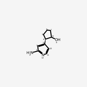 Nc1cc([C@H]2CCCC2O)ccn1